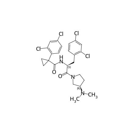 CN(C)[C@@H]1CCN(C(=O)[C@H](Cc2ccc(Cl)cc2Cl)NC(=O)C2(c3ccc(Cl)cc3Cl)CC2)C1